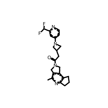 Cc1nc2c(c3c1CN(C(=O)CC1CN(c4ccnc(C(F)F)c4)C1)C3)CCC2